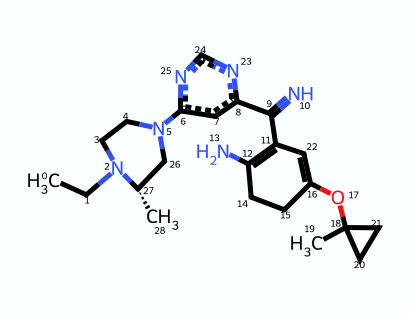 CCN1CCN(c2cc(C(=N)C3=C(N)CCC(OC4(C)CC4)=C3)ncn2)C[C@@H]1C